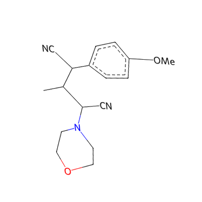 COc1ccc(C(C#N)C(C)C(C#N)N2CCOCC2)cc1